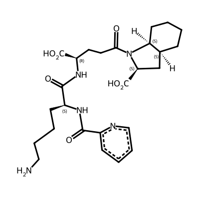 NCCCC[C@H](NC(=O)c1ccccn1)C(=O)N[C@H](CCC(=O)N1[C@H](C(=O)O)C[C@@H]2CCCC[C@@H]21)C(=O)O